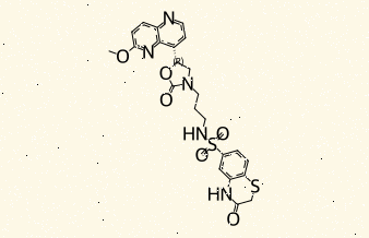 COc1ccc2nccc([C@@H]3CN(CCCNS(=O)(=O)c4ccc5c(c4)NC(=O)CS5)C(=O)O3)c2n1